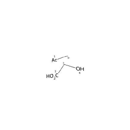 CC(C)=O.O=C(O)CO